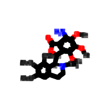 CCOc1c(N)c2c(c(OCC)c1OCC)[C@@H]([C@H]1c3c(cc(OC)c(OC)c3OC)CCN1C)OC2=O